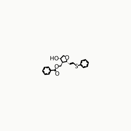 O=C(OC[C@H]1[C@H](O)CO[C@@H]1C=CSc1ccccc1)c1ccccc1